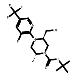 C[C@@H]1CN(c2ncc(C(F)(F)F)cc2F)[C@@H](CO)CN1C(=O)OC(C)(C)C